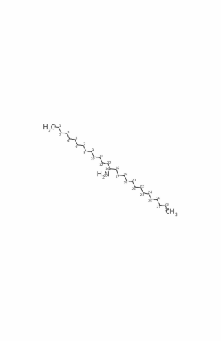 CCCCCCCCCCCCCCC(N)CCCCCCCCCCCCCC